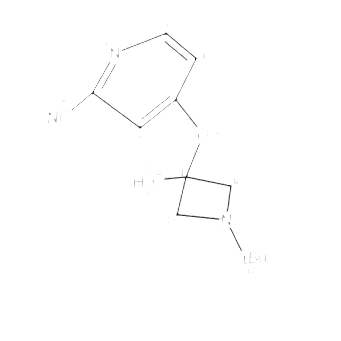 CC1(Oc2ccnc(C#N)c2)CN(C(C)(C)C)C1